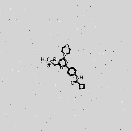 CS(=O)(=O)Cc1cc(N2CCOCC2)nc(-c2ccc(NC(=O)C3CCC3)cc2)n1